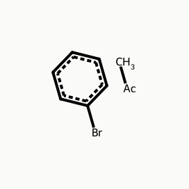 Brc1ccccc1.CC(C)=O